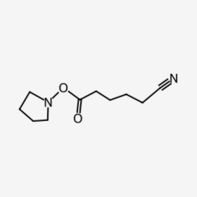 N#CCCCCC(=O)ON1CCCC1